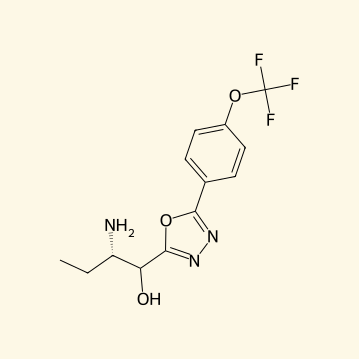 CC[C@H](N)C(O)c1nnc(-c2ccc(OC(F)(F)F)cc2)o1